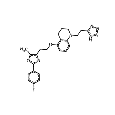 Cc1oc(-c2ccc(F)cc2)nc1CCOc1cccc2c1CCCN2CCc1nnn[nH]1